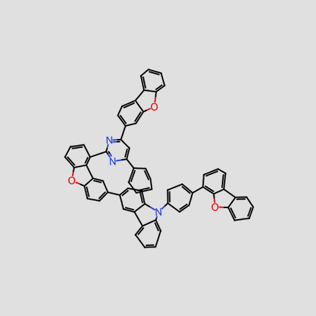 c1ccc(-c2cc(-c3ccc4c(c3)oc3ccccc34)nc(-c3cccc4oc5ccc(-c6ccc7c(c6)c6ccccc6n7-c6ccc(-c7cccc8c7oc7ccccc78)cc6)cc5c34)n2)cc1